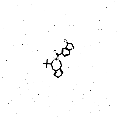 CC(C)(C)C1CC2=CCCC=C2CCN(C(=O)c2ccc3c(c2)C(=O)CC3)S1